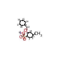 Cc1ccc(S(=O)(=O)OI)c(OCc2ccccc2)c1